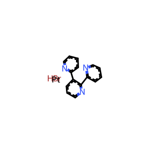 Br.[Pt].c1ccc(-c2cccnc2-c2ccccn2)nc1